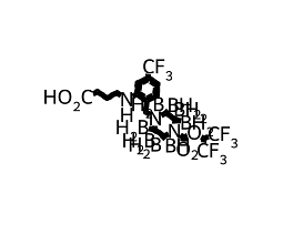 BC1(B)N(Cc2ccc(C(F)(F)F)cc2NCCCC(=O)O)C(B)(B)C(B)(B)N(C(=O)OC(C(F)(F)F)C(F)(F)F)C1(B)B